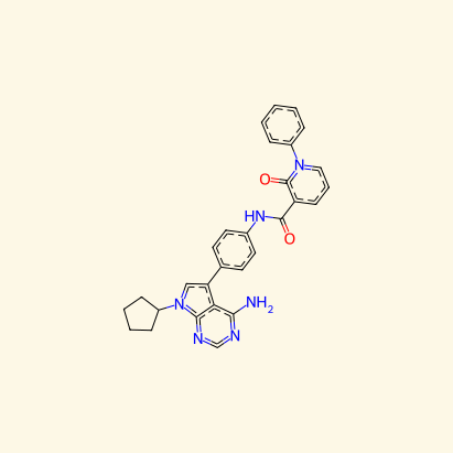 Nc1ncnc2c1c(-c1ccc(NC(=O)c3cccn(-c4ccccc4)c3=O)cc1)cn2C1CCCC1